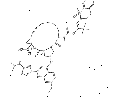 COc1ccc2c(O[C@@H]3C[C@H]4C(=O)N[C@]5(C(=O)O)CC5/C=C\CCCCC[C@H](NC(=O)OC(CN5CCc6ccccc6S5(=O)=O)C(C)(C)C)C(=O)N4C3)cc(-c3csc(NC(C)C)n3)nc2c1